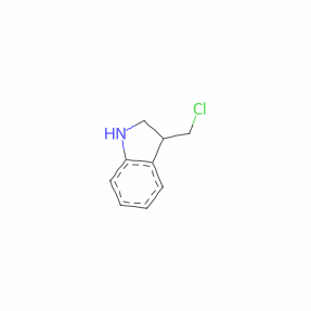 ClCC1CNc2ccccc21